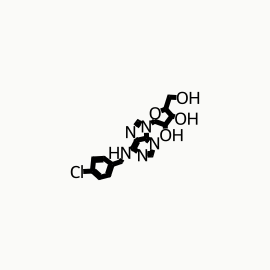 OCC1OC(n2cnc3c(NCc4ccc(Cl)cc4)ncnc32)C(O)C1O